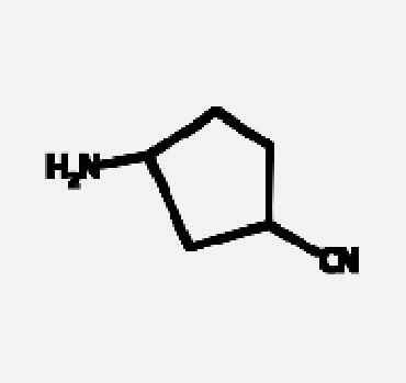 N#CC1CCC(N)C1